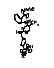 CCOC(c1ccc(Nc2ncc(C(F)(F)F)c(Nc3ccccc3C(=O)NC)n2)cc1)P(=O)(O)O